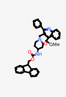 COC(=O)c1c(CN2CCC(NC(=O)OCC3c4ccccc4-c4ccccc43)CC2)c(-c2ccccc2)nc2ccccc12